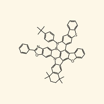 CC(C)(C)c1ccc(N2B3c4cc5nc(-c6ccccc6)oc5cc4-n4c5cc6c(cc5c5c7oc8ccccc8c7c(c3c54)-c3cc4sc5ccccc5c4cc32)C(C)(C)CCC6(C)C)cc1